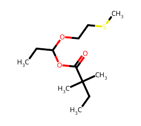 CCC(OCCSC)OC(=O)C(C)(C)CC